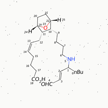 CCCCC(C=CC=O)NCCCC[C@@H]1[C@H](C/C=C\CCCC(=O)O)[C@@H]2CC[C@H]1O2